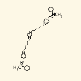 CN(N=Cc1cc[n+](CCCCCCn2cc[n+](CCCCCC[n+]3ccc(C=NN(C)c4ccccc4)cc3)c2)cc1)c1ccccc1